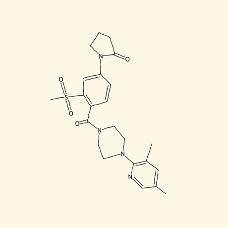 Cc1cnc(N2CCN(C(=O)c3ccc(N4CCCC4=O)cc3S(C)(=O)=O)CC2)c(C)c1